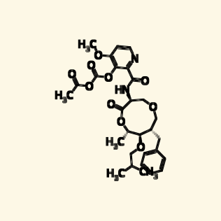 COc1ccnc(C(=O)N[C@H]2COC[C@H](Cc3ccccc3)[C@@H](OCC(C)C)[C@H](C)OC2=O)c1OC(=O)OC(C)=O